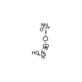 C[C@H](O)c1nccn1Cc1cc(-c2ccc(C#CC3(C(N)=O)CC3)cc2)on1